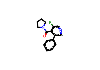 O=C(c1c(-c2ccccc2)[c]ncc1F)N1CCCC1